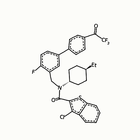 CC[C@H]1CC[C@H](N(Cc2cc(-c3ccc(C(=O)C(F)(F)F)cc3)ccc2F)C(=O)c2sc3ccccc3c2Cl)CC1